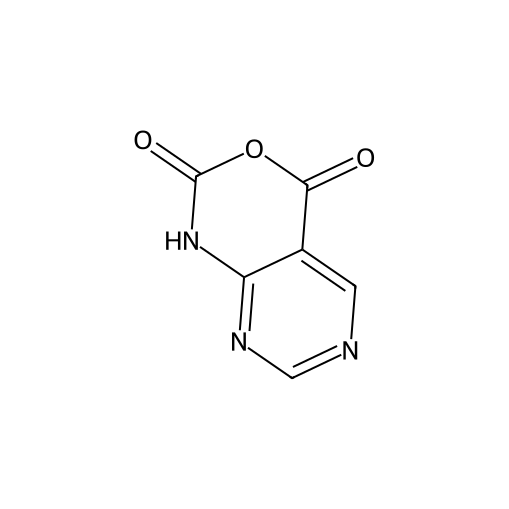 O=c1[nH]c2ncncc2c(=O)o1